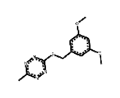 COc1cc(CSc2nnc(C)nn2)cc(OC)c1